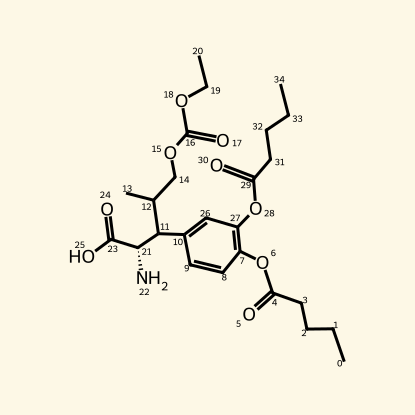 CCCCC(=O)Oc1ccc(C(C(C)COC(=O)OCC)[C@H](N)C(=O)O)cc1OC(=O)CCCC